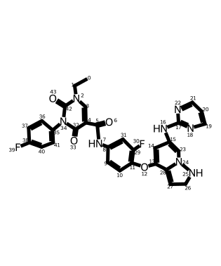 CCn1cc(C(=O)Nc2ccc(OC3=CC(Nc4ncccn4)=CN4NCC=C34)c(F)c2)c(=O)n(-c2ccc(F)cc2)c1=O